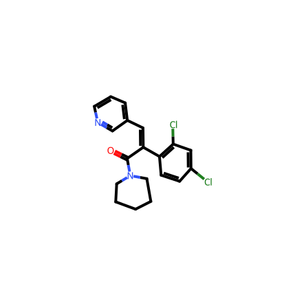 O=C(C(=Cc1cccnc1)c1ccc(Cl)cc1Cl)N1CCCCC1